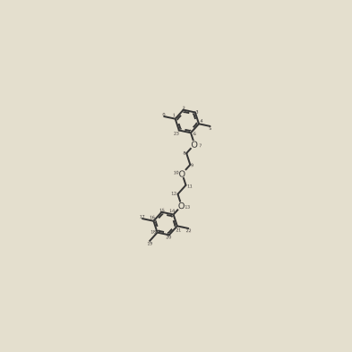 Cc1ccc(C)c(OCCOCCOc2cc(C)c(C)cc2C)c1